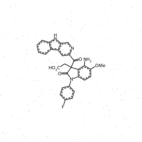 COc1ccc2c(c1N)C(CC(=O)O)(C(=O)c1cc3c(cn1)[nH]c1ccccc13)C(=O)N2c1ccc(F)cc1